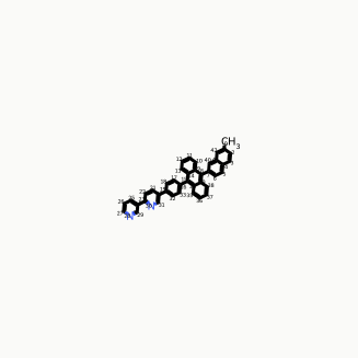 Cc1ccc2ccc(-c3c4ccccc4c(-c4ccc(-c5ccc(-c6cccnc6)nc5)cc4)c4ccccc34)cc2c1